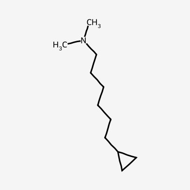 CN(C)CCCCCCC1CC1